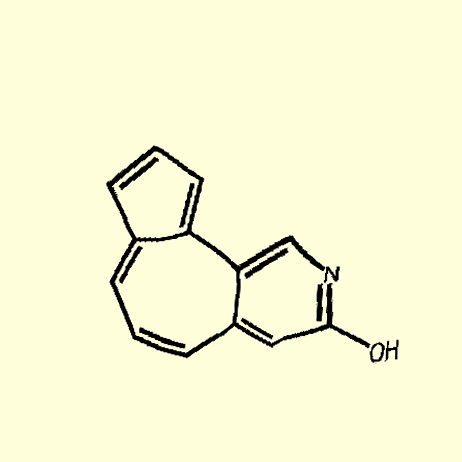 Oc1cc2cccc3cccc-3c2cn1